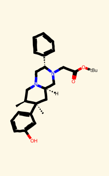 C[C@H]1CN2C[C@H](c3ccccc3)N(CC(=O)OC(C)(C)C)C[C@H]2C[C@@]1(C)c1cccc(O)c1